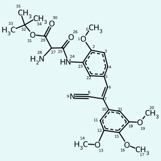 COc1ccc(C=C(C#N)c2cc(OC)c(OC)c(OC)c2)cc1NC(=O)C(N)C(=O)OC(C)(C)C